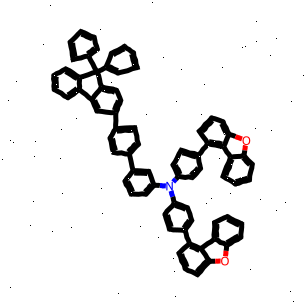 c1ccc(C2(c3ccccc3)c3ccccc3-c3cc(-c4ccc(-c5cccc(N(c6ccc(-c7cccc8oc9ccccc9c78)cc6)c6ccc(-c7cccc8oc9ccccc9c78)cc6)c5)cc4)ccc32)cc1